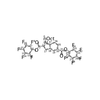 CCCCCCCCn1c(C(=O)Oc2c(F)c(F)c(F)c(F)c2F)cc2cc(C(=O)Oc3c(F)c(F)c(F)c(F)c3F)ccc21